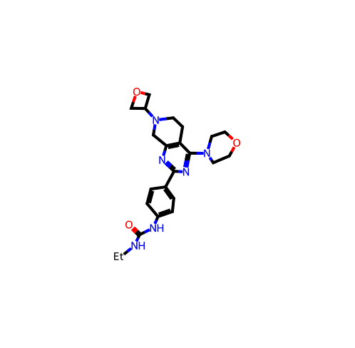 CCNC(=O)Nc1ccc(-c2nc3c(c(N4CCOCC4)n2)CCN(C2COC2)C3)cc1